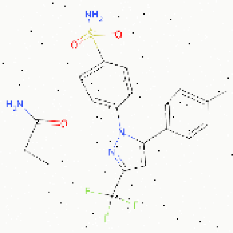 CCC(N)=O.Cc1ccc(-c2cc(C(F)(F)F)nn2-c2ccc(S(N)(=O)=O)cc2)cc1